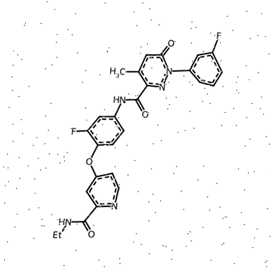 CCNC(=O)c1cc(Oc2ccc(NC(=O)c3nn(-c4cccc(F)c4)c(=O)cc3C)cc2F)ccn1